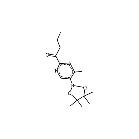 CCCC(=O)c1cc(C)c(B2OC(C)(C)C(C)(C)O2)cn1